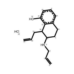 C=CCNC1CCc2cccc(O)c2C1CC=C.Cl